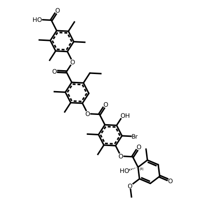 CCc1cc(OC(=O)c2c(C)c(C)c(OC(=O)[C@@]3(O)C(C)=CC(=O)C=C3OC)c(Br)c2O)c(C)c(C)c1C(=O)Oc1c(C)c(C)c(C(=O)O)c(C)c1C